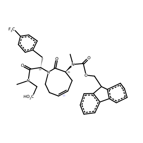 CN(CC(=O)O)C(=O)[C@H](Cc1ccc(C(F)(F)F)cc1)N1CC/C=C\C[C@H](N(C)C(=O)OCC2c3ccccc3-c3ccccc32)C1=O